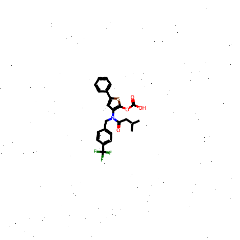 CC(C)CC(=O)N(Cc1ccc(C(F)(F)F)cc1)c1cc(-c2ccccc2)sc1OC(=O)O